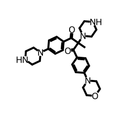 CC(C(=O)c1ccc(N2CCNCC2)cc1)(C(=O)c1ccc(N2CCOCC2)cc1)N1CCNCC1